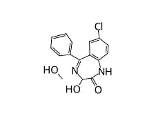 CO.O=C1Nc2ccc(Cl)cc2C(c2ccccc2)=NC1O